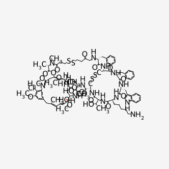 COc1cc2cc(c1Cl)N(C)C(=O)CC1(OC(=O)[C@H](C)N(C)C(=O)CCSSCCC(=O)CN[C@H](Cc3ccccc3)C(=O)N[C@H]3CSSC[C@@H](C(=O)N[C@H](CO)[C@@H](C)O)NC(=O)[C@H]([C@@H](C)O)NC(=O)[C@H](CCCCCN)NC(=O)[C@@H](Cc4c[nH]c5ccccc45)NC(=O)[C@H](Cc4ccccc4)NC3=O)O[C@@H]([C@H](C)[C@@H]3C[C@@](O)(NC(=O)O3)[C@H](OC)/C=C/C=C(\C)C2)[C@@H]1C